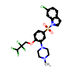 CN1CCN(c2cc(S(=O)(=O)n3ccc4ccc(Cl)cc43)ccc2OCC(F)(F)C(F)F)CC1